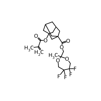 C=C(C)C(=O)OC12CC3CC(C1)CC(C(=O)OCC1(C)OCC(F)(F)C(F)(F)CO1)(C3)C2